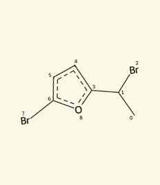 CC(Br)c1ccc(Br)o1